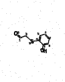 O=[C]CSc1ccccc1O